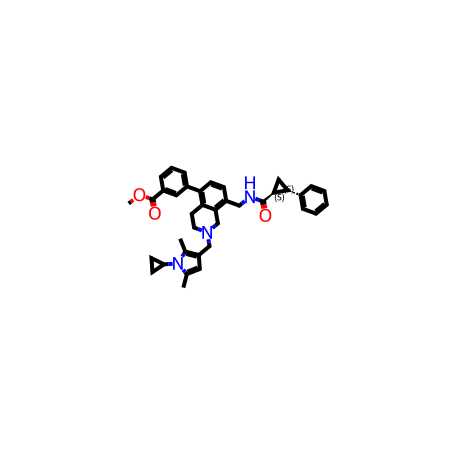 COC(=O)c1cccc(-c2ccc(CNC(=O)[C@H]3C[C@@H]3c3ccccc3)c3c2CCN(Cc2cc(C)n(C4CC4)c2C)C3)c1